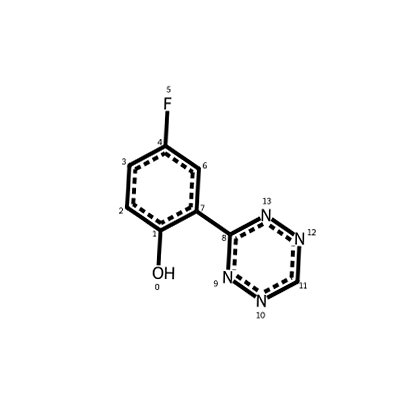 Oc1ccc(F)cc1-c1nncnn1